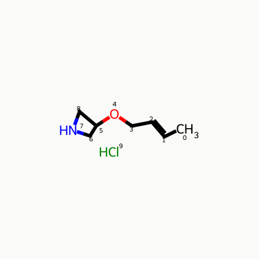 CC=CCOC1CNC1.Cl